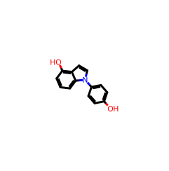 Oc1ccc(-n2ccc3c(O)cccc32)cc1